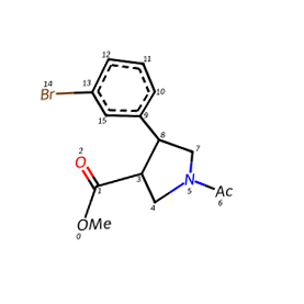 COC(=O)C1CN(C(C)=O)CC1c1cccc(Br)c1